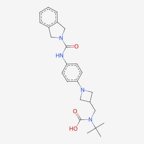 CC(C)(C)N(CC1CN(c2ccc(NC(=O)N3Cc4ccccc4C3)cc2)C1)C(=O)O